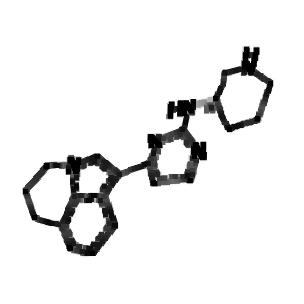 c1cc2c3c(c1)c(-c1ccnc(N[C@H]4CCCNC4)n1)cn3CCC2